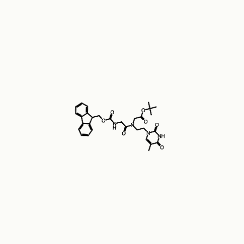 Cc1cn(CCN(CC(=O)OC(C)(C)C)C(=O)CNC(=O)OCC2c3ccccc3-c3ccccc32)c(=O)[nH]c1=O